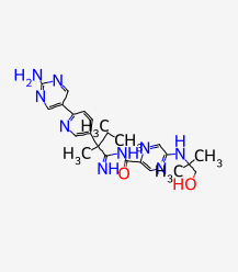 CC(C)C(C)(C(=N)NC(=O)c1cnc(NC(C)(C)CO)cn1)c1ccc(-c2cnc(N)nc2)nc1